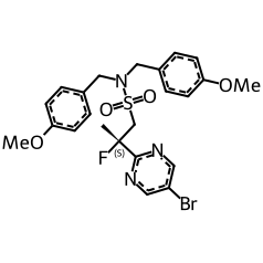 COc1ccc(CN(Cc2ccc(OC)cc2)S(=O)(=O)C[C@@](C)(F)c2ncc(Br)cn2)cc1